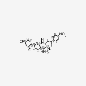 O=[N+]([O-])c1ccc(NCCNc2nc(-c3ccc(Cl)cc3Cl)ccc2-c2cnc[nH]2)nc1